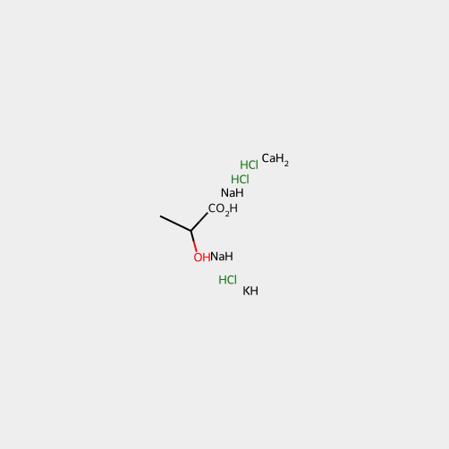 CC(O)C(=O)O.Cl.Cl.Cl.[CaH2].[KH].[NaH].[NaH]